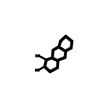 Oc1ccc2cc3ccccc3cc2c1O